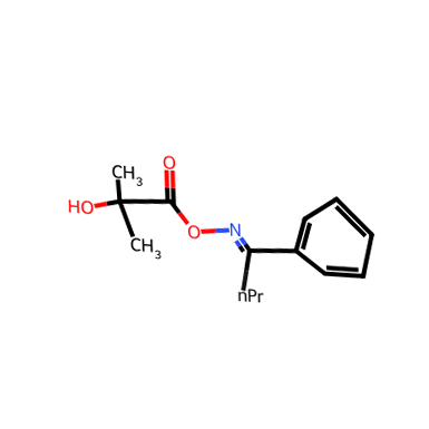 CCC/C(=N\OC(=O)C(C)(C)O)c1ccccc1